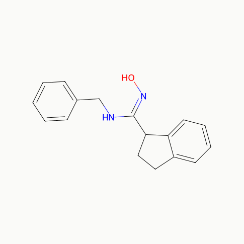 ON=C(NCc1ccccc1)C1CCc2ccccc21